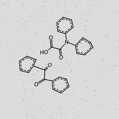 O=C(C(=O)c1ccccc1)c1ccccc1.O=C(O)C(=O)N(c1ccccc1)c1ccccc1